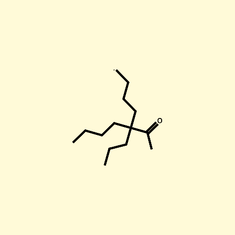 [CH2]CCCC(CCC)(CCCC)C(C)=O